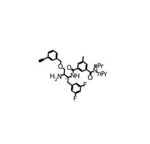 C#Cc1cccc(COCC(N)[C@H](Cc2cc(F)cc(F)c2)NC(=O)c2cc(C)cc(C(=O)N(CCC)CCC)c2)c1